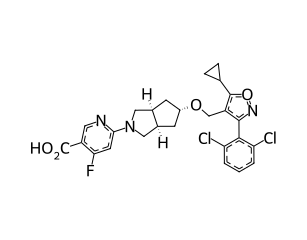 O=C(O)c1cnc(N2C[C@H]3C[C@H](OCc4c(-c5c(Cl)cccc5Cl)noc4C4CC4)C[C@H]3C2)cc1F